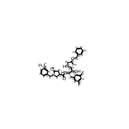 Cc1cccc(CN2CC(C(=O)N[C@@H](Cc3cc(F)cc(F)c3)[C@H](O)[C@H]3C[C@@H](OCc4ccccc4)CN3)CC2=O)c1